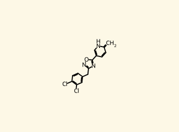 C=C1C=CC(c2nc(Cc3ccc(Cl)c(Cl)c3)no2)=CN1